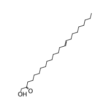 CCCCCCCCC=CCCCCCCCCCCCC(=O)CO